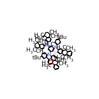 Cc1cc(C(C)(C)C)ccc1N1c2cc3c(cc2B2c4cc5c(cc4N(c4ccc(C(C)(C)C)cc4-c4ccccc4)c4cc(N(c6ccc7c(c6)C(C)(C)CCC7(C)C)c6ccc7c(c6)C(C)(C)CCC7(C)C)cc1c42)C(C)(C)c1ccccc1C5(C)C)C(C)(C)c1ccccc1C3(C)C